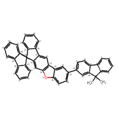 CC1(C)c2ccccc2-c2ccc(-c3ccc4oc5cc6c(cc5c4c3)-c3ccccc3C63c4ccccc4-c4ccccc43)cc21